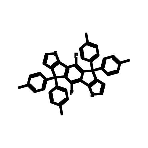 Cc1ccc(C2(c3ccc(C)cc3)c3ccsc3-c3c(F)c4c(c(F)c32)-c2sccc2C4(c2ccc(C)cc2)c2ccc(C)cc2)cc1